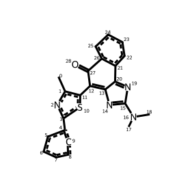 Cc1nc(-c2ccccc2)sc1C1=C2N=C(N(C)C)N=C2c2ccccc2C1=O